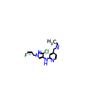 C/C=N\Cc1ccnc(Nc2cn(C/C=C\F)nc2Cl)c1